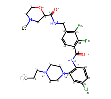 CCN1CCOC(C(=O)NCc2ccc(C(=O)Nc3ccc(Cl)cc3N3CCN(CCC(F)(F)F)CC3)c(F)c2F)C1